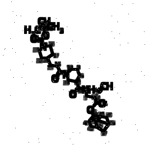 C#C[C@@H](CNC(=O)[C@@H]1CCCN(C(=O)CCC2CCN(C(=O)OC(C)(C)C)CC2)C1)C(=O)OC1C2CC3CC(C2)CC1C3